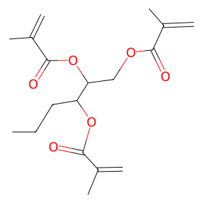 C=C(C)C(=O)OCC(OC(=O)C(=C)C)C(CCC)OC(=O)C(=C)C